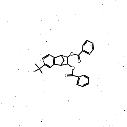 CC(C)(C)c1ccc2c(c1)C1CC2C(OC(=O)c2ccccc2)C1OC(=O)c1ccccc1